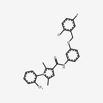 Cc1cc(C(=O)Nc2cccc(OCc3cc(F)ccc3Cl)c2)c(C)n1-c1ccccc1C(F)(F)F